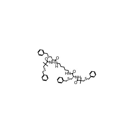 CC(C)(CSCc1ccccc1)C(=O)N[C@@H](CSCc1ccccc1)C(=O)NCCCCCNC(=O)[C@H](CSCc1ccccc1)NC(=O)C(C)(C)CSCc1ccccc1